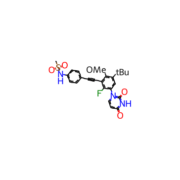 COc1c(C(C)(C)C)cc(-n2ccc(=O)[nH]c2=O)c(F)c1C#Cc1ccc(NS(C)(=O)=O)cc1